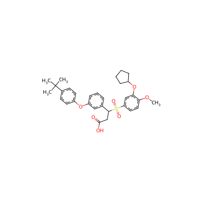 COc1ccc(S(=O)(=O)C(CC(=O)O)c2cccc(Oc3ccc(C(C)(C)C)cc3)c2)cc1OC1CCCC1